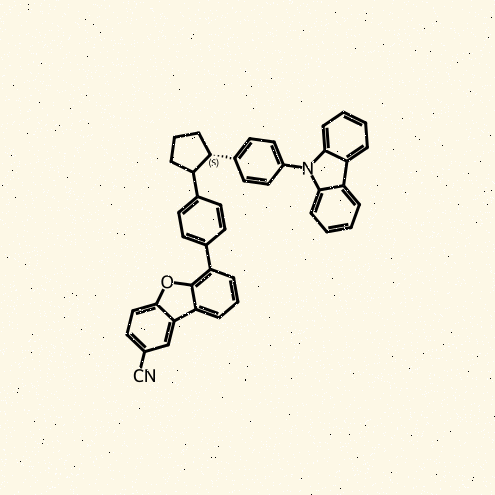 N#Cc1ccc2oc3c(-c4ccc(C5CCC[C@@H]5c5ccc(-n6c7ccccc7c7ccccc76)cc5)cc4)cccc3c2c1